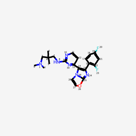 CN(C)CC(C)(C)CNc1nccc(-c2c(-c3ccc(F)cc3F)nc3occn23)n1